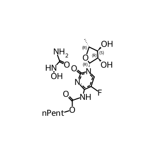 CCCCCOC(=O)Nc1nc(=O)n([C@@H]2O[C@H](C)[C@@H](O)[C@H]2O)cc1F.NC(=O)NO